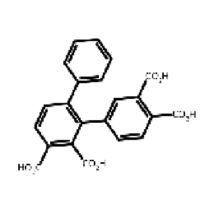 O=C(O)c1ccc(-c2c(-c3ccccc3)ccc(C(=O)O)c2C(=O)O)cc1C(=O)O